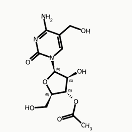 CC(=O)O[C@H]1[C@H](O)[C@H](n2cc(CO)c(N)nc2=O)O[C@@H]1CO